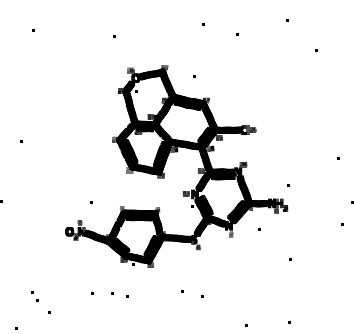 Nc1nc(Sc2ccc([N+](=O)[O-])cc2)nc(-c2c(Cl)cc3c4c(cccc24)COC3)n1